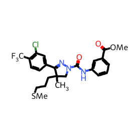 COC(=O)c1cccc(NC(=O)N2CC(C)(CCCSC)C(c3ccc(C(F)(F)F)c(Cl)c3)=N2)c1